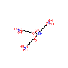 O=C(CCCCCON(O)O)NC(COC(=O)CCCCCON(O)O)C(=O)OCCCCCCON(O)O